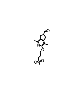 Cc1nc(OCCCS(C)(=O)=O)c(C)c2c1CC(C=O)C2